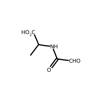 CC(NC(=O)C=O)C(=O)O